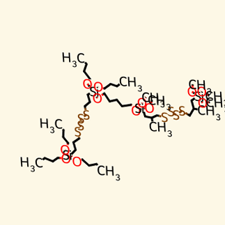 CCCCO[Si](CCCSSSSCCC[Si](OCCCC)(OCCCC)OCCCCCO[Si](CC(C)CSSSSCC(C)C[Si](OC)(OC)OC)(OC)OC)(OCCCC)OCCCC